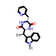 CC[C@H](c1cn(CC)c2ccccc12)[C@H]1NC(=O)[C@@H](Cc2ccccn2)NC1=O